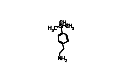 C[Si](C)(C)c1ccc(CCN)cc1